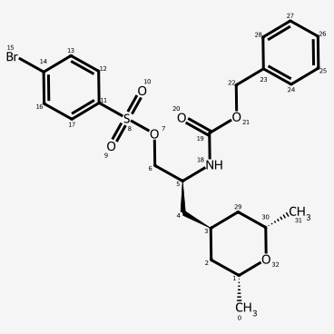 C[C@@H]1C[C@@H](C[C@@H](COS(=O)(=O)c2ccc(Br)cc2)NC(=O)OCc2ccccc2)C[C@H](C)O1